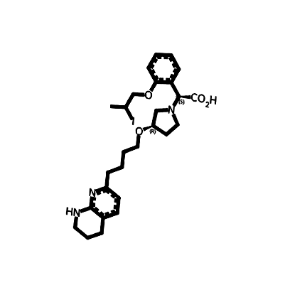 CC(I)COc1ccccc1[C@@H](C(=O)O)N1CC[C@@H](OCCCCc2ccc3c(n2)NCCC3)C1